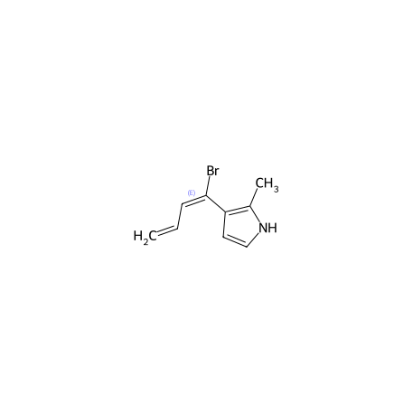 C=C/C=C(/Br)c1cc[nH]c1C